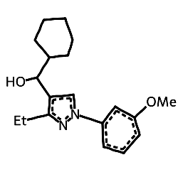 CCc1nn(-c2cccc(OC)c2)cc1C(O)C1CCCCC1